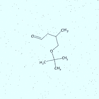 CC([CH]C=O)COC(C)(C)C